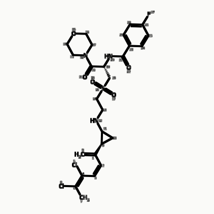 C=C(/C=C\C(Cl)=C(/C)Cl)[C@@H]1CC1NCCS(=O)(=O)C[C@@H](NC(=O)c1ccc(F)cc1)C(=O)N1CCOCC1